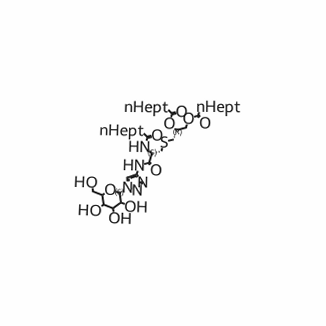 CCCCCCCC(=O)N[C@H](CSC[C@@H](COC(=O)CCCCCCC)OC(=O)CCCCCCC)C(=O)Nc1cn([C@H]2OC(CO)C(O)C(O)C2O)nn1